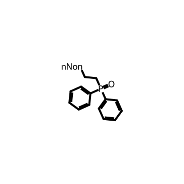 CCCCCCCCCCCP(=O)(c1ccccc1)c1ccccc1